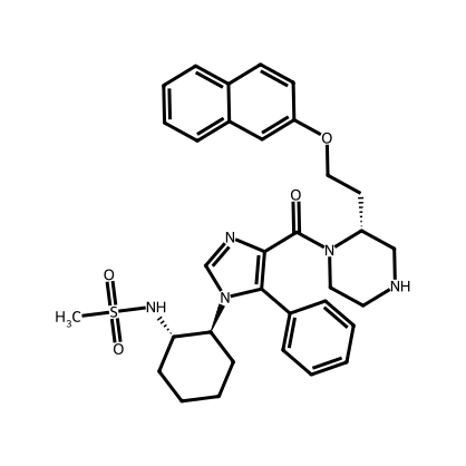 CS(=O)(=O)N[C@H]1CCCC[C@@H]1n1cnc(C(=O)N2CCNC[C@H]2CCOc2ccc3ccccc3c2)c1-c1ccccc1